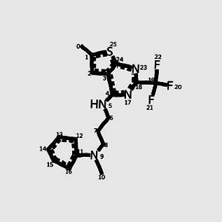 Cc1cc2c(NCCCN(C)c3ccccc3)nc(C(F)(F)F)nc2s1